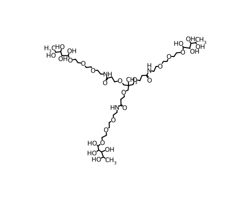 CC(O)C(O)C(O)C(O)OCCOCCOCCNC(=O)CCOCC(C)(COCCC(=O)NCCOCCOCCOC(O)C(O)C(O)C(C)O)COCCC(=O)NCCOCCOCCOC(O)C(O)C(O)C(C)O